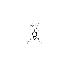 CCOC(=O)c1c2ccc(C(OC(=O)C(C)(C)C)C(=O)NOC)ccc-2c(C(=O)OCC)c1N